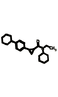 CCN(C(=O)C1CC1c1ccc(C2CCCCC2)cc1)C1CCCCC1